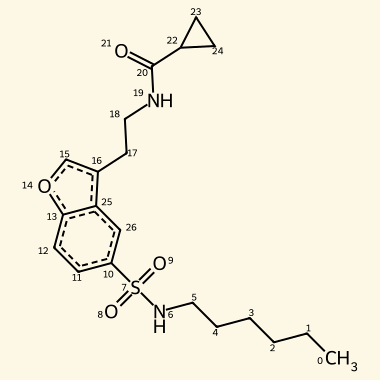 CCCCCCNS(=O)(=O)c1ccc2occ(CCNC(=O)C3CC3)c2c1